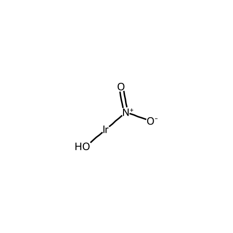 O=[N+]([O-])[Ir][OH]